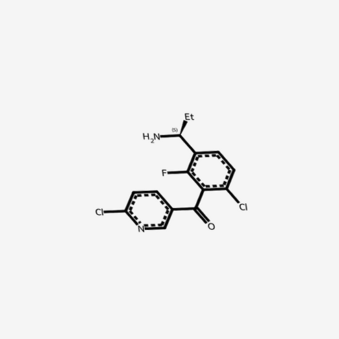 CC[C@H](N)c1ccc(Cl)c(C(=O)c2ccc(Cl)nc2)c1F